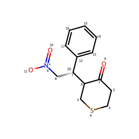 O=C1CCSCC1[C@H](C[N+](=O)[O-])c1ccccc1